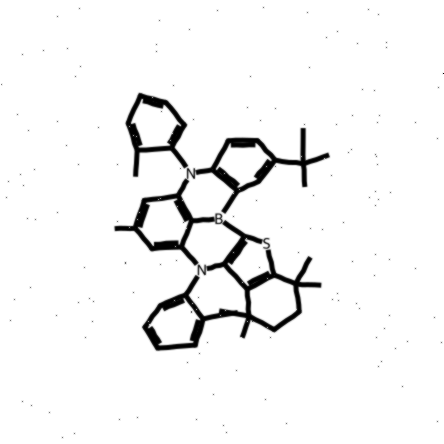 Cc1cc2c3c(c1)N(c1ccccc1C)c1c(sc4c1C(C)(C)CCC4(C)C)B3c1cc(C(C)(C)C)ccc1N2c1ccccc1C